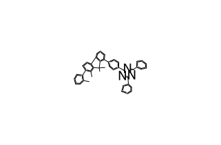 Cc1ccccc1-c1ccc2c(c1C)C(C)(C)c1c(-c3ccc(-c4nc(-c5ccccc5)nc(-c5ccccc5)n4)cc3)cccc1-2